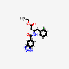 CCOC(=O)C[C@@H](Cc1ccccc1Cl)NC(=O)c1ccc2[nH]nnc2c1